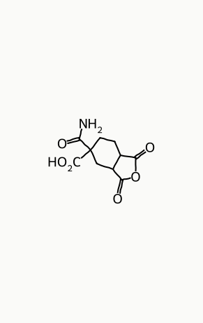 NC(=O)C1(C(=O)O)CCC2C(=O)OC(=O)C2C1